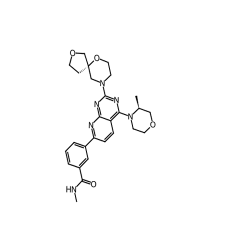 CNC(=O)c1cccc(-c2ccc3c(N4CCOC[C@@H]4C)nc(N4CCO[C@@]5(CCOC5)C4)nc3n2)c1